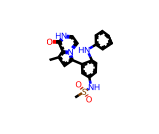 Cc1cc(-c2cc(NS(C)(=O)=O)ccc2Nc2ccccc2)n2cc[nH]c(=O)c12